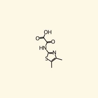 Cc1nc(NC(=O)C(=O)O)sc1C